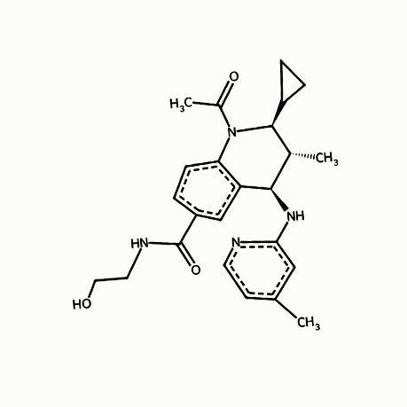 CC(=O)N1c2ccc(C(=O)NCCO)cc2[C@H](Nc2cc(C)ccn2)[C@@H](C)[C@@H]1C1CC1